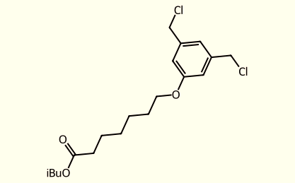 CC(C)COC(=O)CCCCCCOc1cc(CCl)cc(CCl)c1